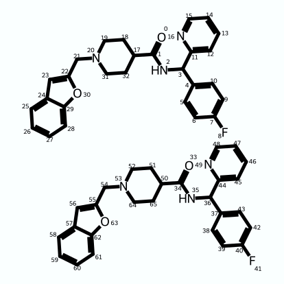 O=C(NC(c1ccc(F)cc1)c1ccccn1)C1CCN(Cc2cc3ccccc3o2)CC1.O=C(NC(c1ccc(F)cc1)c1ccccn1)C1CCN(Cc2cc3ccccc3o2)CC1